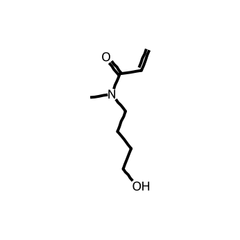 C=CC(=O)N(C)CCCCO